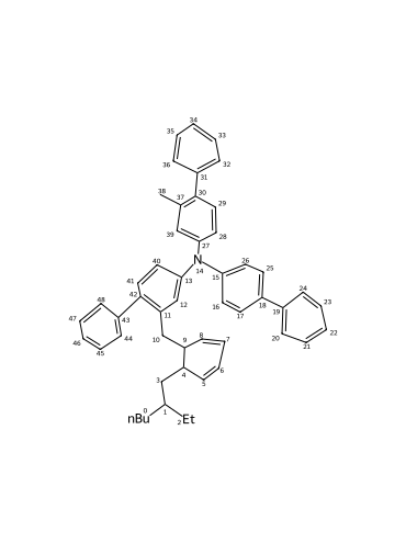 CCCCC(CC)CC1C=CC=CC1Cc1cc(N(c2ccc(-c3ccccc3)cc2)c2ccc(-c3ccccc3)c(C)c2)ccc1-c1ccccc1